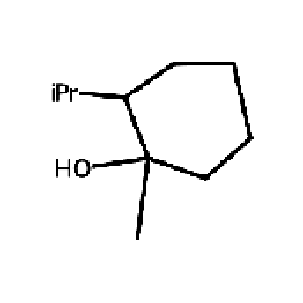 CC(C)C1CCCCC1(C)O